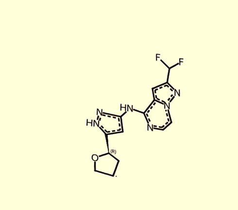 FC(F)c1cc2c(Nc3cc([C@H]4C[CH]CO4)[nH]n3)nccn2n1